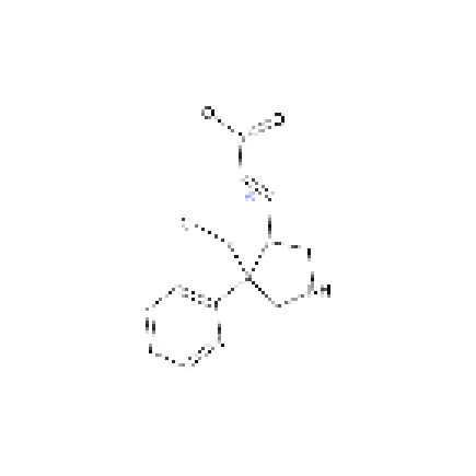 O=[N+]([O-])/C=C/C12CNCC1(c1ccccn1)C2Cl